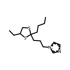 CCCCC1(CCCn2ccnc2)SCC(CC)S1